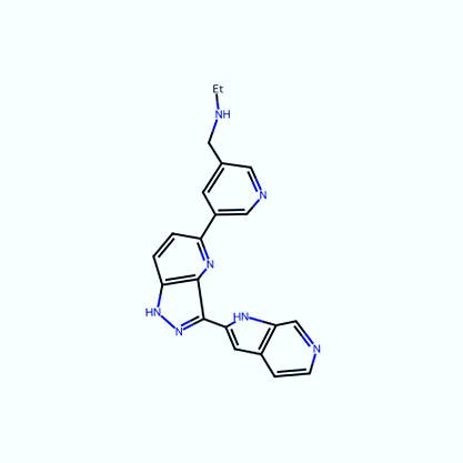 CCNCc1cncc(-c2ccc3[nH]nc(-c4cc5ccncc5[nH]4)c3n2)c1